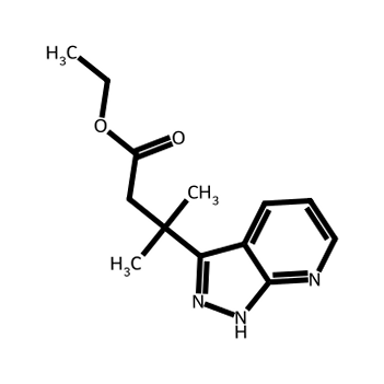 CCOC(=O)CC(C)(C)c1n[nH]c2ncccc12